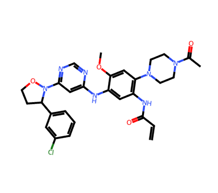 C=CC(=O)Nc1cc(Nc2cc(N3OCCC3c3cccc(Cl)c3)ncn2)c(OC)cc1N1CCN(C(C)=O)CC1